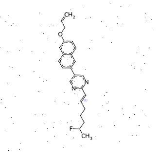 C=CCOc1ccc2cc(-c3cnc(/C=C/CCCC(C)F)nc3)ccc2c1